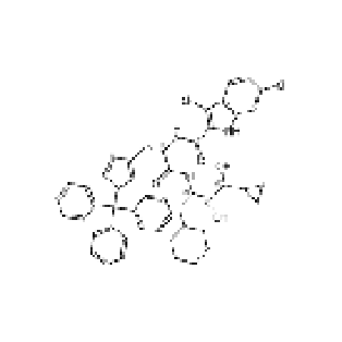 O=C(N[C@@H](Cc1cn(C(c2ccccc2)(c2ccccc2)c2ccccc2)cn1)C(=O)N[C@@H](CC1CCCCC1)[C@@H](O)[C@@H](O)C1CC1)c1[nH]c2cc(Cl)ccc2c1Cl